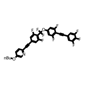 CCCCOc1ccc(C#Cc2cc(F)c(C(F)(F)Oc3cc(F)c(C#Cc4cc(F)c(F)c(F)c4)c(F)c3)c(F)c2)nc1